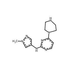 Cn1cc(Nc2nccc(N3CCNCC3)n2)cn1